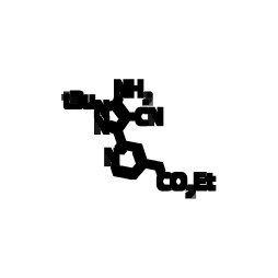 CCOC(=O)Cc1ccnc(-c2nn(C(C)(C)C)c(N)c2C#N)c1